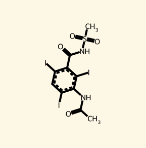 CC(=O)Nc1c(I)cc(I)c(C(=O)NS(C)(=O)=O)c1I